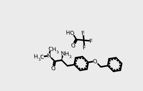 CN(C)C(=O)[C@@H](N)Cc1ccc(OCc2ccccc2)cc1.O=C(O)C(F)(F)F